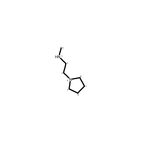 [CH2]NCCN1CCCC1